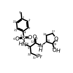 Cc1ccc(S(=O)(=O)NC(CC(C)C)C(=O)N[C@H]2CCOC2O)cc1